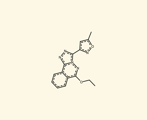 CCOc1nn2c(-c3cc(C)on3)nnc2c2ccccc12